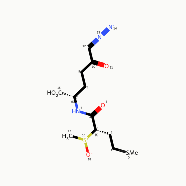 CSCC[C@@H](C(=O)N[C@@H](CCC(=O)C=[N+]=[N-])C(=O)O)[S+](C)[O-]